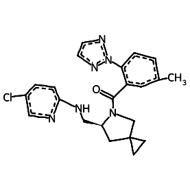 Cc1ccc(-n2nccn2)c(C(=O)N2CC3(CC3)C[C@H]2CNc2ccc(Cl)cn2)c1